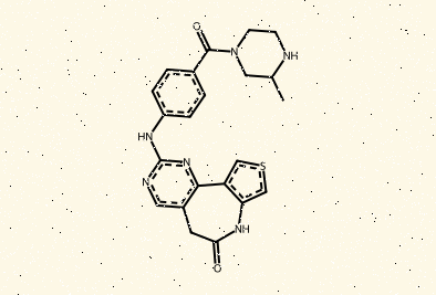 CC1CN(C(=O)c2ccc(Nc3ncc4c(n3)-c3cscc3NC(=O)C4)cc2)CCN1